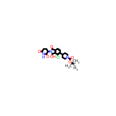 CC(C)(C)OC(=O)N1CCC(c2ccc3c(c2Cl)C(O)N(C2CCC(=O)NC2=O)C3=O)CC1